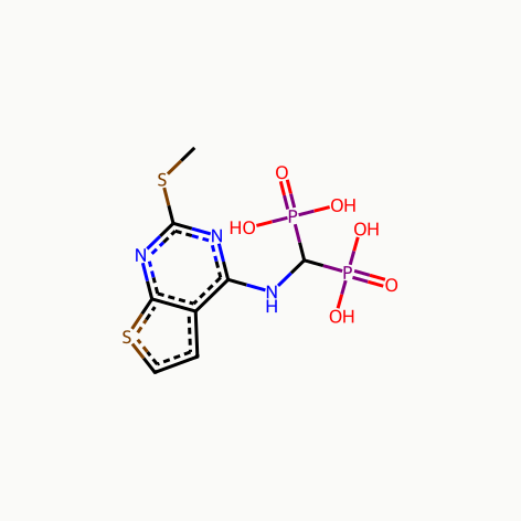 CSc1nc(NC(P(=O)(O)O)P(=O)(O)O)c2ccsc2n1